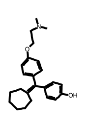 CN(C)CCOc1ccc(C(=C2CCCCCC2)c2ccc(O)cc2)cc1